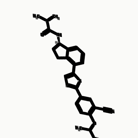 CC(C)Oc1ccc(-c2ncc(-c3cccc4c3CC[C@@H]4NC(=O)N(C)C)s2)cc1C#N